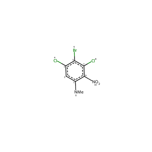 CNc1cc(Cl)c(Br)c(Cl)c1[N+](=O)[O-]